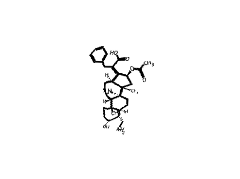 CC(=O)O[C@H]1C[C@@]2(C)[C@@H](CC[C@H]3[C@@]4(C)CC[C@@H](O)[C@@H](CN)[C@@H]4CC[C@@]32N)/C1=C(\Cc1ccccc1)C(=O)O